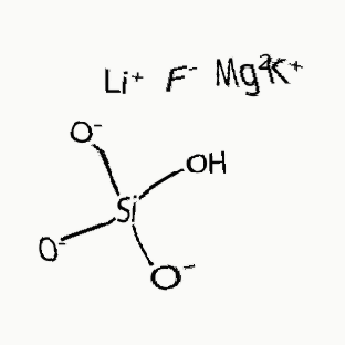 [F-].[K+].[Li+].[Mg+2].[O-][Si]([O-])([O-])O